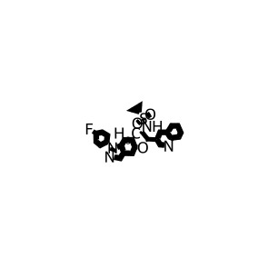 C[C@H](NS(=O)(=O)C1CC1)[C@@H](Oc1ccc2c(cnn2-c2ccc(F)cc2)c1)c1cnc2ccccc2c1